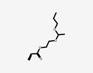 C=CC(=O)OCCOC(C)OCCC